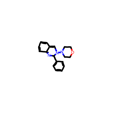 C1=c2ccccc2=NC(c2ccccc2)N1N1CCOCC1